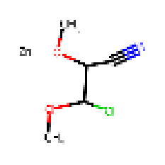 COC(Cl)C(C#N)OC.[Zn]